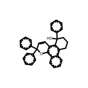 OC1(c2ccccc2)CCCc2c1c1c(c3ccccc23)OC(c2ccccc2)(c2ccccc2)C=C1